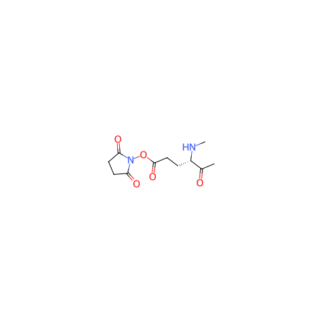 CN[C@@H](CCC(=O)ON1C(=O)CCC1=O)C(C)=O